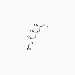 C=COC(=O)CC(Cl)=CC(=C)Cl